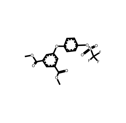 COC(=O)c1cc(Oc2ccc(OS(=O)(=O)C(F)(F)F)cc2)cc(C(=O)OC)c1